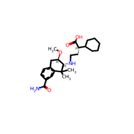 CO[C@@H]1Cc2ccc(C(N)=O)cc2C(C)(C)[C@H]1NCC[C@H](C(=O)O)C1CCCCC1